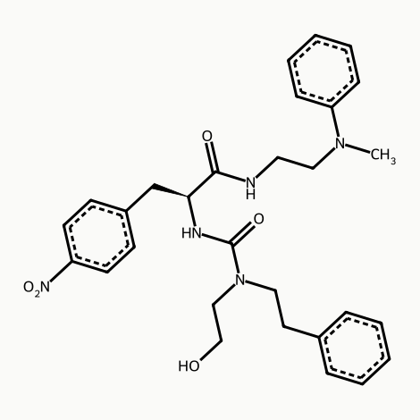 CN(CCNC(=O)[C@H](Cc1ccc([N+](=O)[O-])cc1)NC(=O)N(CCO)CCc1ccccc1)c1ccccc1